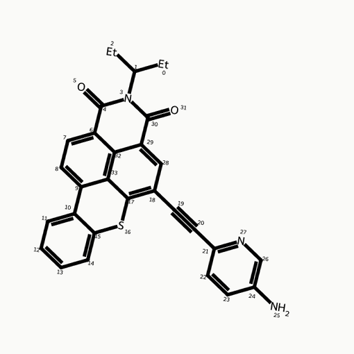 CCC(CC)n1c(=O)c2ccc3c4ccccc4sc4c(C#Cc5ccc(N)cn5)cc(c1=O)c2c43